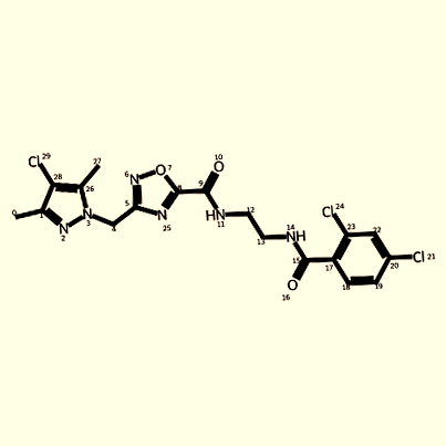 Cc1nn(Cc2noc(C(=O)NCCNC(=O)c3ccc(Cl)cc3Cl)n2)c(C)c1Cl